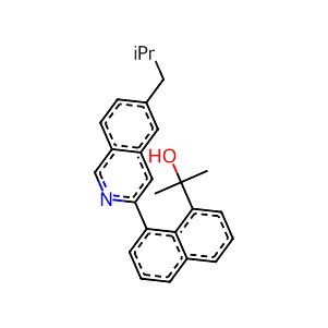 CC(C)Cc1ccc2cnc(-c3cccc4cccc(C(C)(C)O)c34)cc2c1